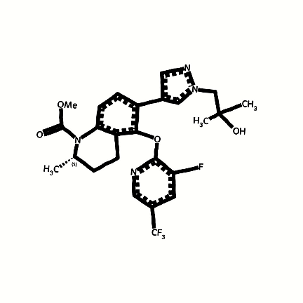 COC(=O)N1c2ccc(-c3cnn(CC(C)(C)O)c3)c(Oc3ncc(C(F)(F)F)cc3F)c2CC[C@@H]1C